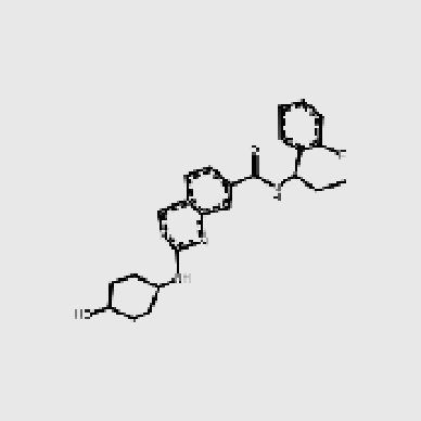 CCC(NC(=O)c1ccc2cnc(NC3CCC(O)CC3)nc2c1)c1ccccc1F